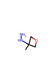 CC1(NN)COC1